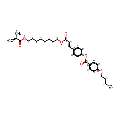 C=C(C)C(=O)OCCCCCCCCOC(=O)C=Cc1ccc(OC(=O)c2ccc(OCCCC#N)cc2)cc1